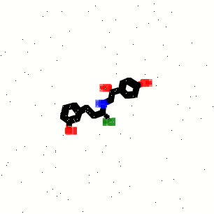 C[C@H](CCc1cccc(O)c1)NC[C@H](O)c1ccc(O)cc1.Cl